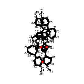 CSc1ccc(C2C=CC=CC3=C2C=C(C)[C]32[SiH](C)[C]3(C(C)=CC4=C3C=CC=CC4c3ccc(SC)cc3)[Zr]23([Cl])([Cl])[C]2(C(C)=CC4=C2C=CC=CC4c2ccc(SC)cc2)[SiH](C)[C]32C(C)=CC3=C2C=CC=CC3c2ccc(SC)cc2)cc1